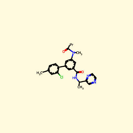 Cc1ccc(-c2cc(C(=O)NC(C)c3cnccn3)cc(N(C)C(=O)C(C)C)c2)c(Cl)c1